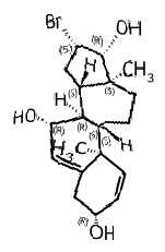 C[C@]12CC[C@H]3[C@@H]([C@@H](O)C=C4C[C@@H](O)C=C[C@@]43C)[C@@H]1C[C@H](Br)[C@@H]2O